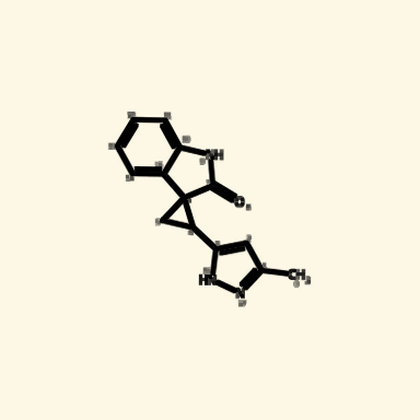 Cc1cc(C2CC23C(=O)Nc2ccccc23)[nH]n1